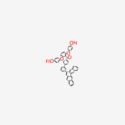 O=C(c1ccc(-c2cccc(-c3cc4cc5ccccc5cc4c4cc5ccccc5cc34)c2)cc1)c1c(Oc2ccc(O)cc2)cccc1Oc1ccc(O)cc1